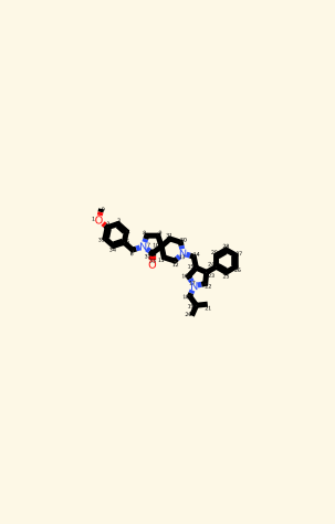 COc1ccc(CN2CCC3(CCN(CC4CN(CC(C)C)CC4c4ccccc4)CC3)C2=O)cc1